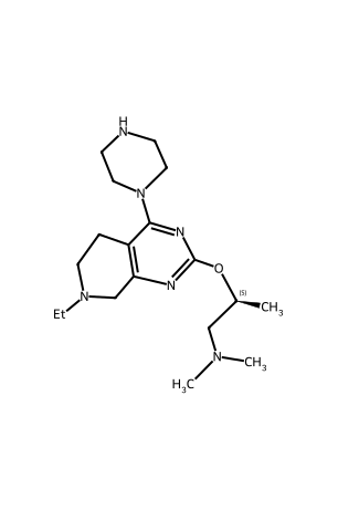 CCN1CCc2c(nc(O[C@@H](C)CN(C)C)nc2N2CCNCC2)C1